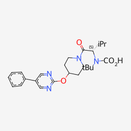 CC(C)[C@@H](C(=O)N1CCC(Oc2ncc(-c3ccccc3)cn2)CC1)N(C(=O)O)C(C)(C)C